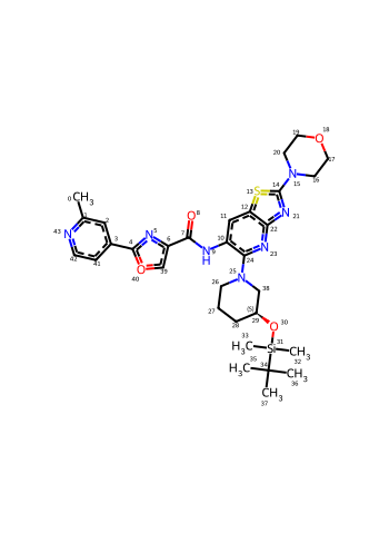 Cc1cc(-c2nc(C(=O)Nc3cc4sc(N5CCOCC5)nc4nc3N3CCC[C@H](O[Si](C)(C)C(C)(C)C)C3)co2)ccn1